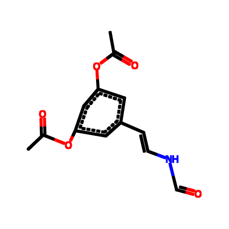 CC(=O)Oc1cc(C=CNC=O)cc(OC(C)=O)c1